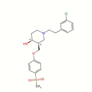 CS(=O)(=O)c1ccc(OC[C@@H]2CN(CCc3cccc(Cl)c3)CC[C@@H]2O)cc1